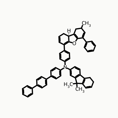 CC1C=C(c2ccccc2)C2=C(C1)[C@@H]1CC=CC(c3ccc(N(c4ccc(-c5ccc(-c6ccccc6)cc5)cc4)c4ccc5c(c4)C(C)(C)C4=C5CCC=C4)cc3)=C1O2